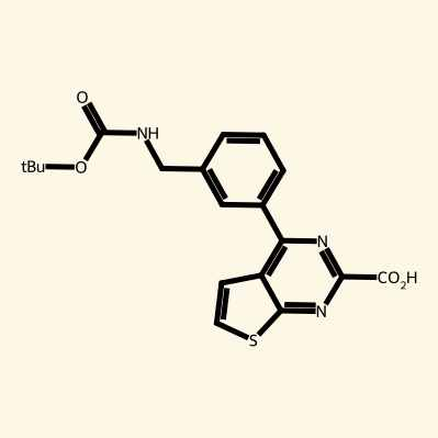 CC(C)(C)OC(=O)NCc1cccc(-c2nc(C(=O)O)nc3sccc23)c1